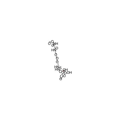 CC(=O)c1cccc(NC(=O)CCC(=O)NCCCOCCOCCOCCCNC(=S)Nc2ccc(-c3c4ccc(=O)cc-4oc4cc(O)ccc34)c(C(=O)O)c2)c1